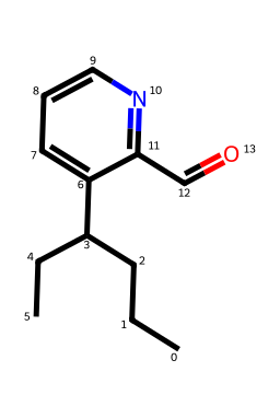 CCCC(CC)c1cccnc1C=O